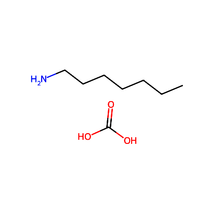 CCCCCCCN.O=C(O)O